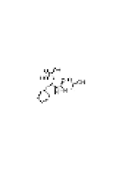 C[C@H](NC(=O)NC(Cc1ccccc1)CP(=O)(O)O)C(=O)O